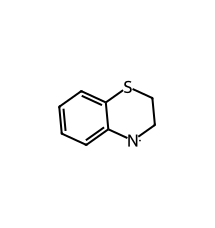 c1ccc2c(c1)[N]CCS2